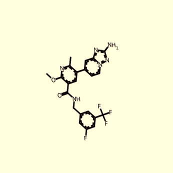 COc1nc(C)c(-c2ccn3nc(N)nc3c2)cc1C(=O)NCc1cc(F)cc(C(F)(F)F)c1